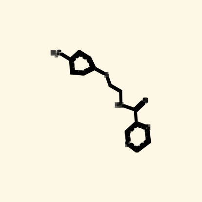 Cc1ccc(SCCNC(=O)c2cnccn2)cc1